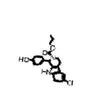 CCCOC(=O)N1CCc2c([nH]c3ccc(Cl)cc23)C1c1ccc(O)cc1